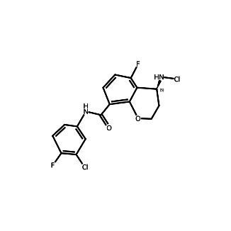 O=C(Nc1ccc(F)c(Cl)c1)c1ccc(F)c2c1OCC[C@@H]2NCl